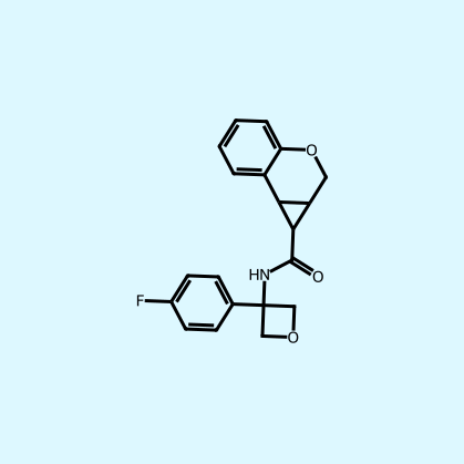 O=C(NC1(c2ccc(F)cc2)COC1)C1C2COc3ccccc3C21